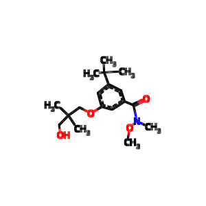 CON(C)C(=O)c1cc(OCC(C)(C)CO)cc(C(C)(C)C)c1